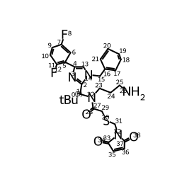 CC(C)(C)[C@H](c1nc(-c2cc(F)ccc2F)cn1Cc1ccccc1)N(CCCN)C(=O)CSCN1C(=O)C=CC1=O